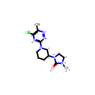 N#Cc1nnc(N2CCCC(N3CCN(C(F)(F)F)C3=O)C2)nc1Cl